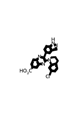 O=C(O)c1ccc2nc(-c3ccc4[nH]ncc4c3)c(N3CCCc4ccc(Cl)cc43)nc2c1